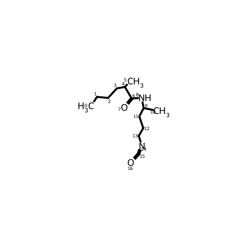 CCCCC(C)C(=O)NC(C)CCCN=C=O